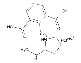 CNC1CCCN1.Cc1c(C(=O)O)cccc1C(=O)O.Cl.Cl